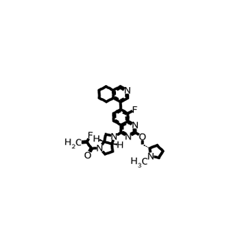 C=C(F)C(=O)N1CC[C@@H]2[C@H]1CN2c1nc(OC[C@@H]2CCCN2C)nc2c(F)c(-c3cncc4c3CCCC4)ccc12